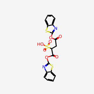 O=C(CC(C(=O)Oc1nc2ccccc2s1)S(=O)(=O)O)Oc1nc2ccccc2s1